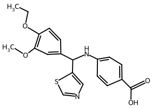 CCOc1ccc(C(Nc2ccc(C(=O)O)cc2)c2cncs2)cc1OC